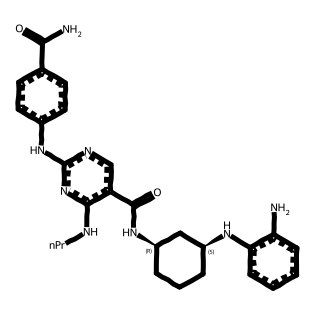 CCCNc1nc(Nc2ccc(C(N)=O)cc2)ncc1C(=O)N[C@@H]1CCC[C@H](Nc2ccccc2N)C1